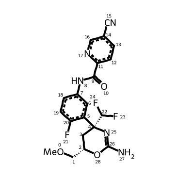 COC[C@@H]1C[C@](c2cc(NC(=O)c3ccc(C#N)cn3)ccc2F)(C(F)F)N=C(N)O1